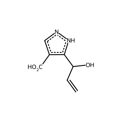 C=CC(O)c1[nH]ncc1C(=O)O